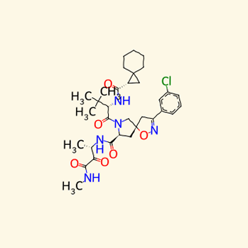 CNC(=O)C(=O)[C@H](C)NC(=O)[C@@H]1C[C@]2(CC(c3cccc(Cl)c3)=NO2)CN1C(=O)[C@@H](NC(=O)[C@H]1CC12CCCCC2)C(C)(C)C